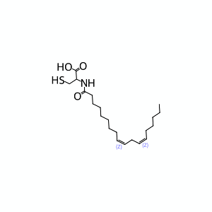 CCCCC/C=C\C/C=C\CCCCCCCC(=O)NC(CS)C(=O)O